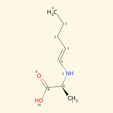 CCCC=CN[C@@H](C)C(=O)O